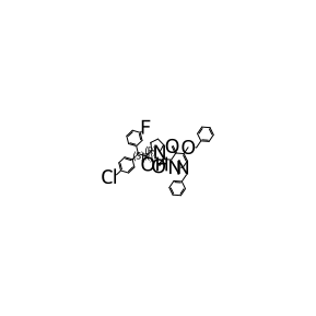 O=C(c1nn(Cc2ccccc2)cc(OCc2ccccc2)c1=O)N1CCC[C@@H]1[C@H](O)[C@@H](c1ccc(Cl)cc1)c1cccc(F)c1